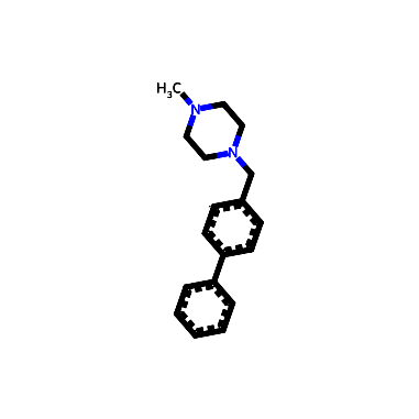 CN1CCN(Cc2[c]cc(-c3ccccc3)cc2)CC1